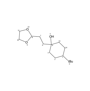 CC(C)(C)C1CCC(O)(CCC2OCCO2)CC1